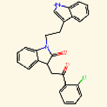 O=C(CC1C(=O)N(CCc2c[nH]c3ccccc23)c2ccccc21)c1ccccc1Cl